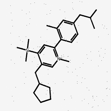 Cc1cc(CC(C)C)ccc1-c1cc([Si](C)(C)C)c(CC2CCCC2)c[n+]1C